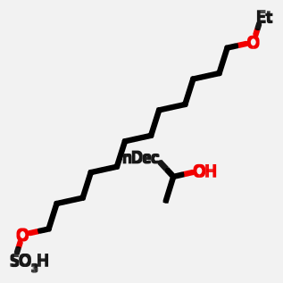 CCCCCCCCCCC(C)O.CCOCCCCCCCCCCCCOS(=O)(=O)O